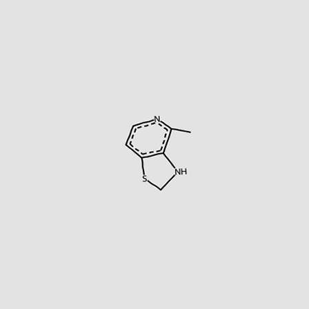 Cc1nccc2c1NCS2